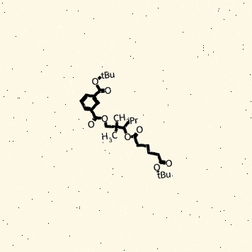 CC(C)C(OC(=O)CCCCC(=O)OC(C)(C)C)C(C)(C)COC(=O)c1cccc(C(=O)OC(C)(C)C)c1